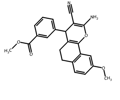 COC(=O)c1cccc(C2C(C#N)=C(N)OC3=C2CCc2ccc(OC)cc23)c1